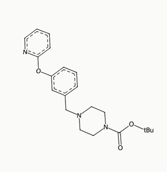 CC(C)(C)OC(=O)N1CCN(Cc2cccc(Oc3ccccn3)c2)CC1